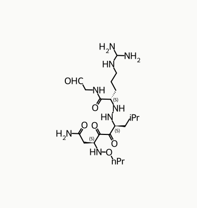 CCCON[C@@H](CC(N)=O)C(=O)C(=O)[C@H](CC(C)C)NN[C@@H](CCCNC(N)N)C(=O)NCC=O